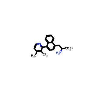 Cc1ccnc(-c2ccc(CC(N)C(=O)O)c3ccccc23)c1C(F)(F)F